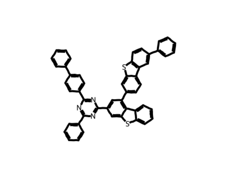 c1ccc(-c2ccc(-c3nc(-c4ccccc4)nc(-c4cc(-c5ccc6c(c5)sc5ccc(-c7ccccc7)cc56)c5c(c4)sc4ccccc45)n3)cc2)cc1